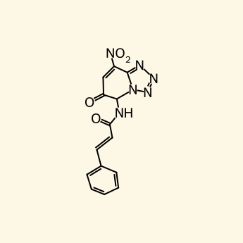 O=C(C=Cc1ccccc1)NC1C(=O)C=C([N+](=O)[O-])c2nnnn21